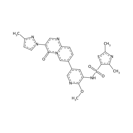 COc1ncc(-c2ccc3ncc(-n4ccc(C)n4)c(=O)n3c2)cc1NS(=O)(=O)c1sc(C)nc1C